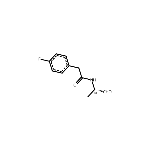 C[C@@H]([C]=O)NC(=O)Cc1ccc(F)cc1